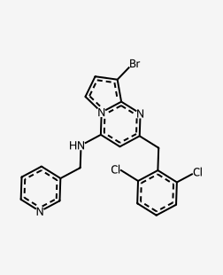 Clc1cccc(Cl)c1Cc1cc(NCc2cccnc2)n2ccc(Br)c2n1